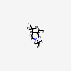 CCC1CN(C(C)(C)C)CCC1C(C)(C)C